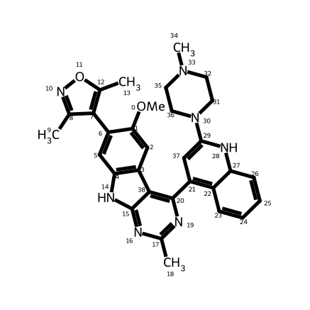 COc1cc2c(cc1-c1c(C)noc1C)[nH]c1nc(C)nc(C3=C4C=CC=CC4NC(N4CCN(C)CC4)=C3)c12